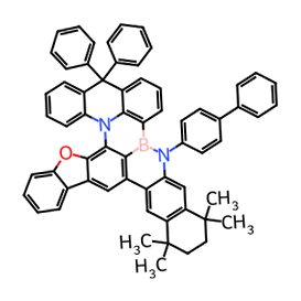 CC1(C)CCC(C)(C)c2cc3c(cc21)-c1cc2c(oc4ccccc42)c2c1B(c1cccc4c1N2c1ccccc1C4(c1ccccc1)c1ccccc1)N3c1ccc(-c2ccccc2)cc1